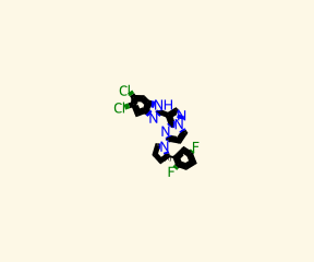 Fc1ccc(F)c([C@H]2CCCN2c2ccn3ncc(-c4nc5cc(Cl)c(Cl)cc5[nH]4)c3n2)c1